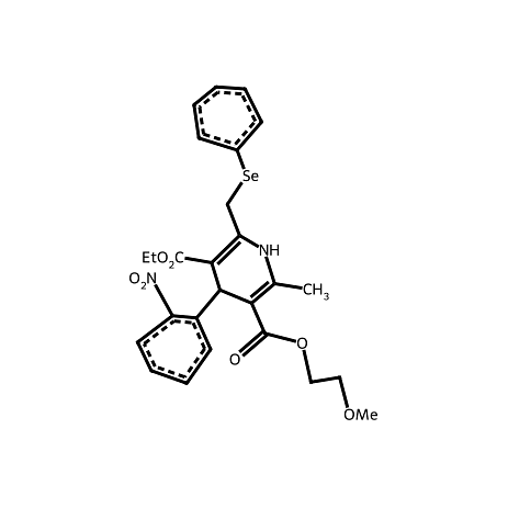 CCOC(=O)C1=C(C[Se]c2ccccc2)NC(C)=C(C(=O)OCCOC)C1c1ccccc1[N+](=O)[O-]